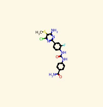 CSc1c(N)nc(-c2ccc(NC(=O)Nc3ccc(C(N)=O)cc3)c(F)c2)nc1Cl